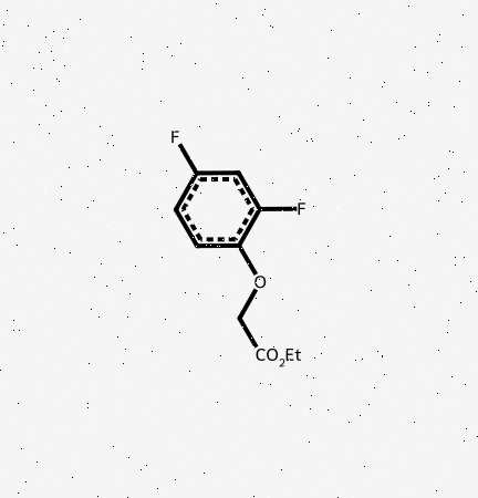 CCOC(=O)COc1ccc(F)cc1F